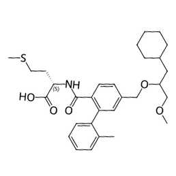 COCC(CC1CCCCC1)OCc1ccc(C(=O)N[C@@H](CCSC)C(=O)O)c(-c2ccccc2C)c1